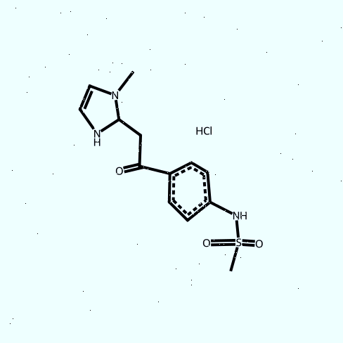 CN1C=CNC1CC(=O)c1ccc(NS(C)(=O)=O)cc1.Cl